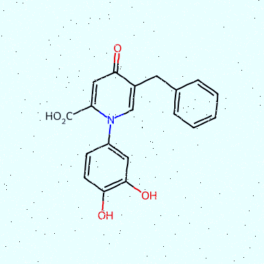 O=C(O)c1cc(=O)c(Cc2ccccc2)cn1-c1ccc(O)c(O)c1